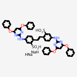 O=S(=O)(O)c1cc(Nc2nc(Oc3ccccc3)cc(Oc3ccccc3)n2)ccc1C=Cc1ccc(Nc2nc(Oc3ccccc3)cc(Oc3ccccc3)n2)cc1S(=O)(=O)O.[NaH].[NaH]